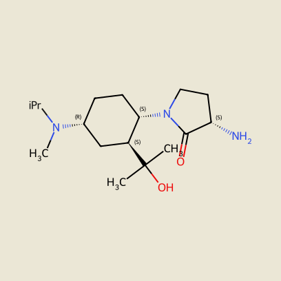 CC(C)N(C)[C@@H]1CC[C@H](N2CC[C@H](N)C2=O)[C@@H](C(C)(C)O)C1